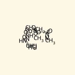 CCCc1nc2c(NC(=O)c3ccc(C(=O)N(C)c4ccc(C)cc4OCCCCC(=C=O)N4CCN(C)CC4)cc3OC)cccc2[nH]1.Cl.Cl